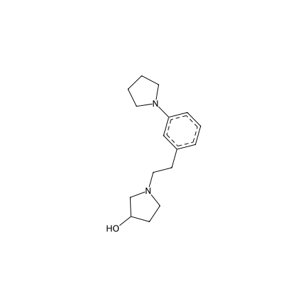 OC1CCN(CCc2cccc(N3CCCC3)c2)C1